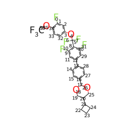 Fc1cc(OC(F)(F)c2c(F)cc(-c3ccc(C4OCC(C5CCC5)CO4)cc3)cc2F)ccc1OC(F)(F)F